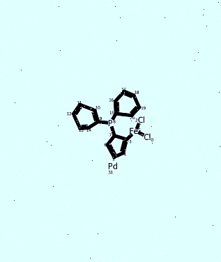 [Cl][Fe]([Cl])[C]1=CC=CC1P(c1ccccc1)c1ccccc1.[Pd]